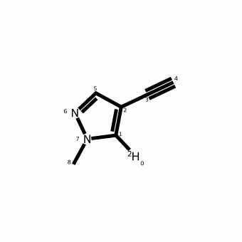 [2H]c1c(C#C)cnn1C